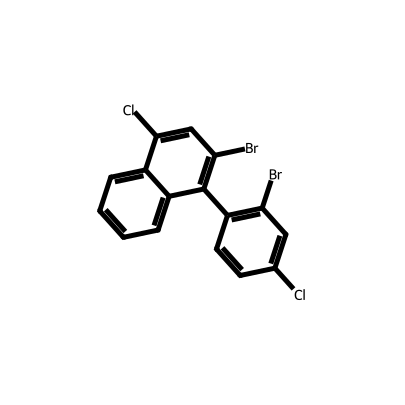 Clc1ccc(-c2c(Br)cc(Cl)c3ccccc23)c(Br)c1